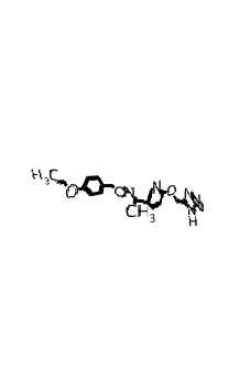 CCCOc1ccc(CO/N=C(\C)c2ccc(OCc3nnn[nH]3)nc2)cc1